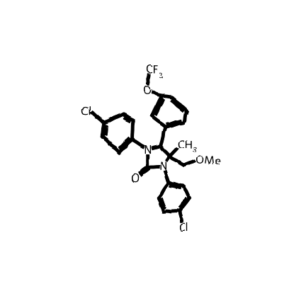 COCC1(C)C(c2cccc(OC(F)(F)F)c2)N(c2ccc(Cl)cc2)C(=O)N1c1ccc(Cl)cc1